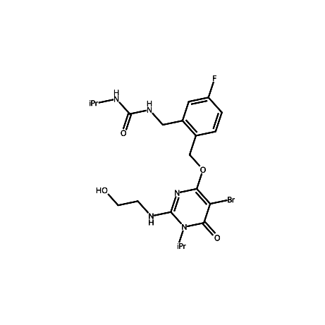 CC(C)NC(=O)NCc1cc(F)ccc1COc1nc(NCCO)n(C(C)C)c(=O)c1Br